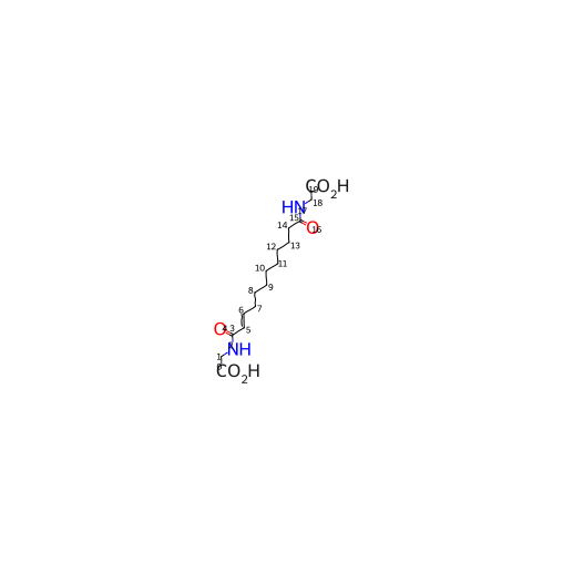 O=C(O)CNC(=O)C=CCCCCCCCCC(=O)NCC(=O)O